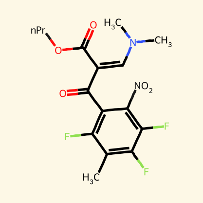 CCCOC(=O)C(=CN(C)C)C(=O)c1c(F)c(C)c(F)c(F)c1[N+](=O)[O-]